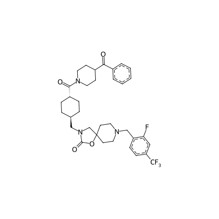 O=C(c1ccccc1)C1CCN(C(=O)[C@H]2CC[C@H](CN3CC4(CCN(Cc5ccc(C(F)(F)F)cc5F)CC4)OC3=O)CC2)CC1